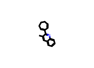 Cc1cc2ccccc2nc1C1=CCCCC=C1